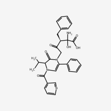 CC(C)C1C(=O)N(CC(=O)[C@@H](Cc2ccccc2)C(N)(O)C(=O)O)C(c2ccccc2)=CN1C(=O)c1cccnc1